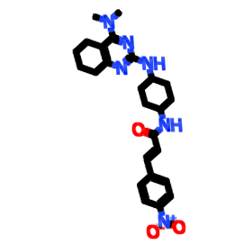 CN(C)c1nc(NC2CCC(NC(=O)C=Cc3ccc([N+](=O)[O-])cc3)CC2)nc2c1CCCC2